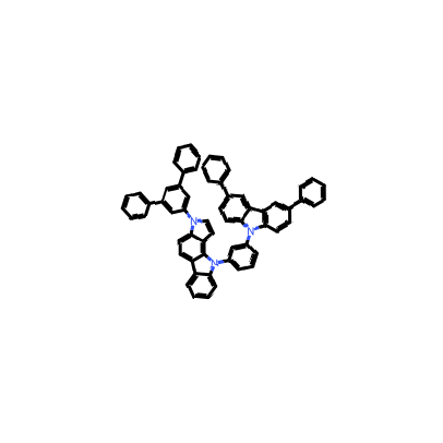 c1ccc(-c2cc(-c3ccccc3)cc(-n3ccc4c3ccc3c5ccccc5n(-c5cccc(-n6c7ccc(-c8ccccc8)cc7c7cc(-c8ccccc8)ccc76)c5)c34)c2)cc1